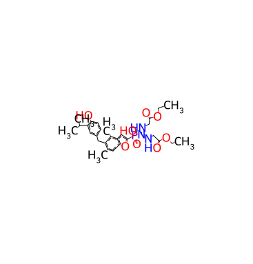 CCOC(=O)CNN(NCC(=O)OCC)P(=O)(O)c1cc2c(C)c(Cc3ccc(O)c(C(C)C)c3)c(C)cc2o1